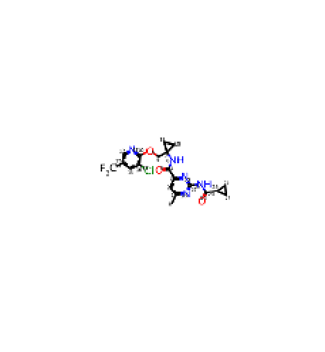 Cc1cc(C(=O)NC2(COc3ncc(C(F)(F)F)cc3Cl)CC2)nc(NC(=O)C2CC2)n1